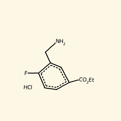 CCOC(=O)c1ccc(F)c(CN)c1.Cl